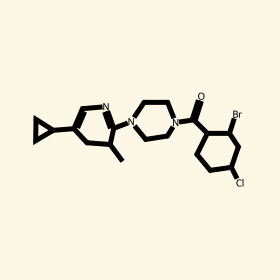 CC1CC(C2CC2)=CN=C1N1CCN(C(=O)C2CCC(Cl)CC2Br)CC1